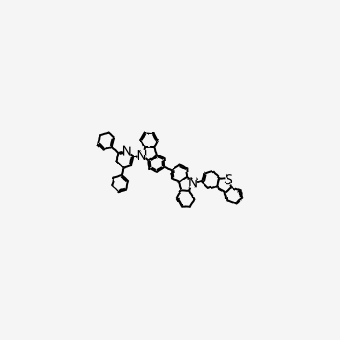 C1=CCCC(C2C=C(N3c4ccc(C5=CC6C7C=CCCC7N(C7=CCC8SC9C=CCCC9C8C7)C6C=C5)cc4C4C=CC=CC43)N=C(C3=CCCC=C3)C2)=C1